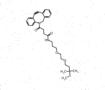 CSC(C)(C)CCOCCOCCCNC(=O)CCC(=O)N1Cc2ccccc2C#Cc2ccccc21